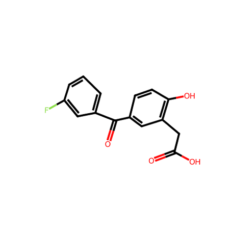 O=C(O)Cc1cc(C(=O)c2cccc(F)c2)ccc1O